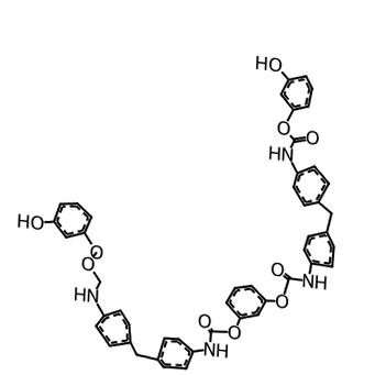 O=C(Nc1ccc(Cc2ccc(NC(=O)Oc3cccc(OC(=O)Nc4ccc(Cc5ccc(NCOOc6cccc(O)c6)cc5)cc4)c3)cc2)cc1)Oc1cccc(O)c1